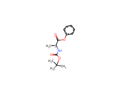 C[C@H](NC(=O)OC(C)(C)C)C(=O)Oc1ccccc1